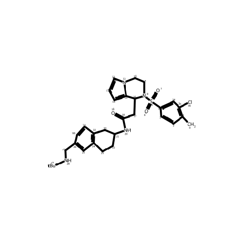 Cc1ccc(S(=O)(=O)N2CCn3cccc3C2CC(=O)NC2CCc3cc(CNC(C)(C)C)ccc3C2)cc1Cl